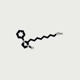 CCCCCCCCCCCCCCCCCCc1n(-c2ccccc2)cc[n+]1CC